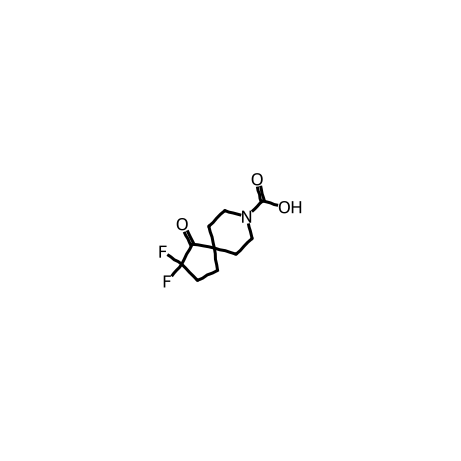 O=C(O)N1CCC2(CC1)CCC(F)(F)C2=O